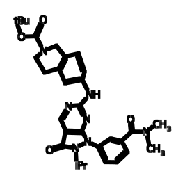 CC(C)n1c(=O)c2cnc(Nc3ccc4c(c3)CCN(C(=O)OC(C)(C)C)C4)nc2n1-c1cccc(C(=O)N(C)C)c1